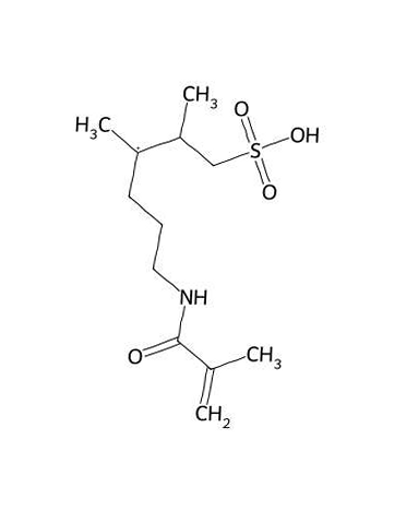 C=C(C)C(=O)NCCC[C](C)C(C)CS(=O)(=O)O